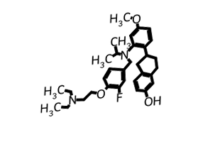 CCN(CC)CCOc1ccc(CN(c2cc(OC)ccc2C2CCc3cc(O)ccc3C2)C(C)C)cc1F